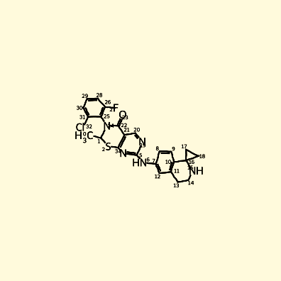 CC1Sc2nc(Nc3ccc4c(c3)CCNC43CC3)ncc2C(=O)N1c1c(F)cccc1Cl